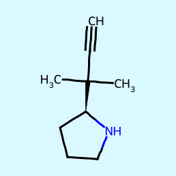 C#CC(C)(C)[C@@H]1CCCN1